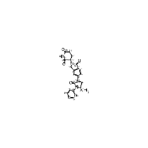 C[C@@H]1CN(c2ccc3c(c2)CN(C2CCC(=O)NC2=O)C3=O)C(=O)N1c1ccncn1